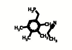 CCC#N.Cc1cc(CP)c(C)c(C)c1C